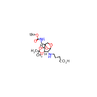 CC(C)(C)OC(=O)NCC12COC(O1)[C@H](NCCCC(=O)O)[C@H]1OC(C)(C)O[C@H]12